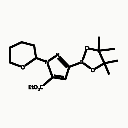 CCOC(=O)c1cc(B2OC(C)(C)C(C)(C)O2)nn1C1CCCCO1